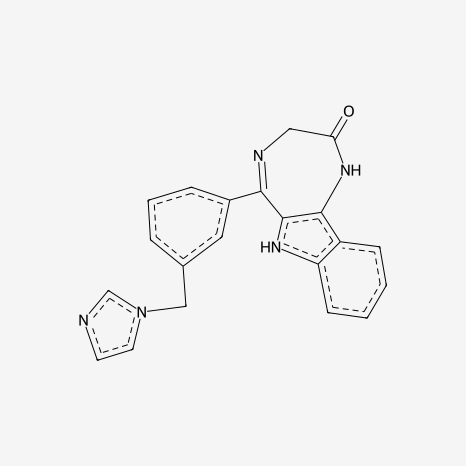 O=C1CN=C(c2cccc(Cn3ccnc3)c2)c2[nH]c3ccccc3c2N1